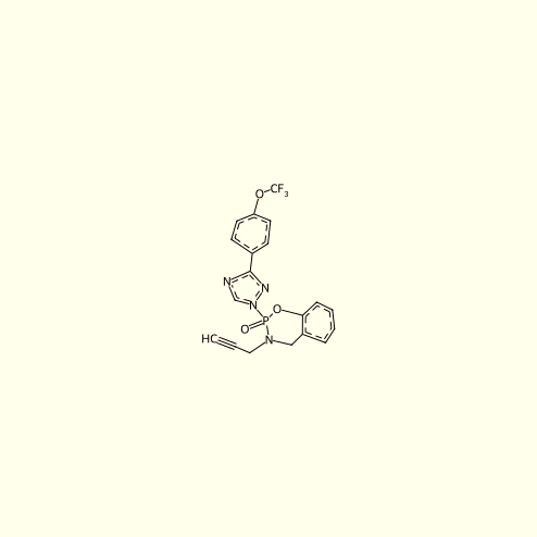 C#CCN1Cc2ccccc2OP1(=O)n1cnc(-c2ccc(OC(F)(F)F)cc2)n1